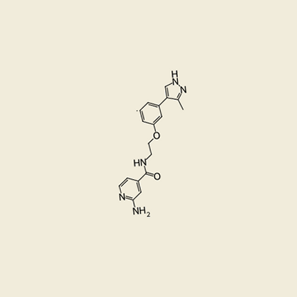 Cc1n[nH]cc1-c1c[c]cc(OCCNC(=O)c2ccnc(N)c2)c1